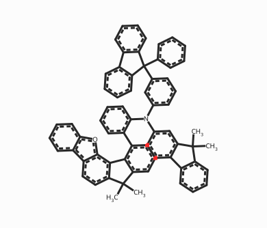 CC1(C)c2ccccc2-c2ccc(N(c3cccc(C4(c5ccccc5)c5ccccc5-c5ccccc54)c3)c3ccccc3-c3cccc4c3-c3c(ccc5c3oc3ccccc35)C4(C)C)cc21